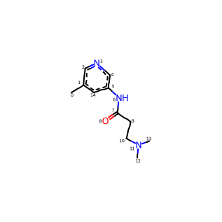 Cc1cncc(NC(=O)CCN(C)C)c1